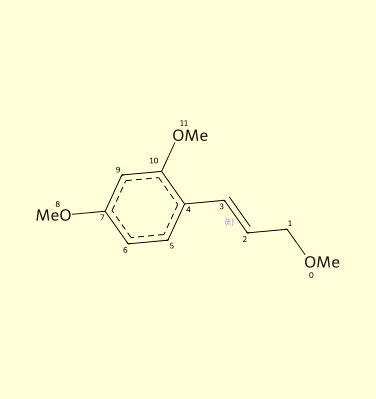 [CH2]OC/C=C/c1ccc(OC)cc1OC